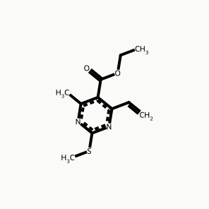 C=Cc1nc(SC)nc(C)c1C(=O)OCC